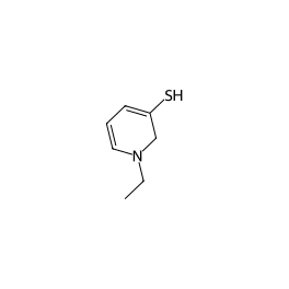 CCN1C=CC=C(S)C1